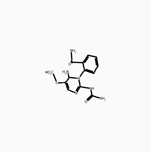 NC(=O)NC1=NC=C(OC(=O)O)C(N)N1c1ccccc1C(N)=O